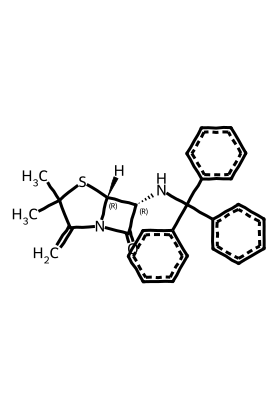 C=C1N2C(=O)[C@@H](NC(c3ccccc3)(c3ccccc3)c3ccccc3)[C@H]2SC1(C)C